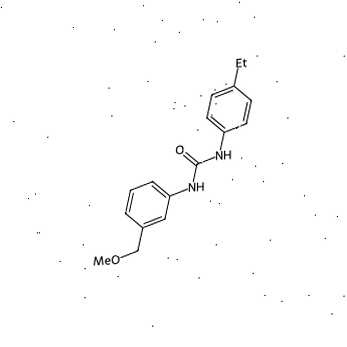 CCc1ccc(NC(=O)Nc2cccc(COC)c2)cc1